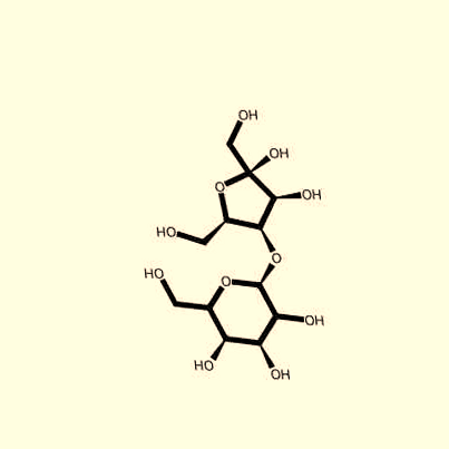 OCC1O[C@@H](O[C@H]2[C@@H](CO)O[C@](O)(CO)[C@H]2O)C(O)[C@@H](O)[C@H]1O